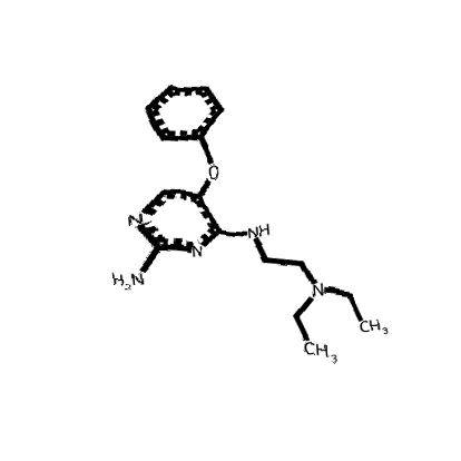 CCN(CC)CCNc1nc(N)ncc1Oc1ccccc1